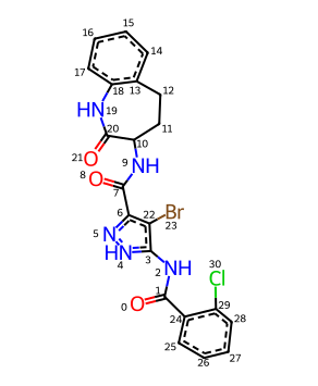 O=C(Nc1[nH]nc(C(=O)NC2CCc3ccccc3NC2=O)c1Br)c1ccccc1Cl